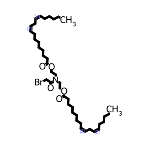 CCCCC/C=C\C/C=C\CCCCCCCC(=O)OCCN(CCOC(=O)CCCCCCC/C=C\C/C=C\CCCCC)C(=O)CBr